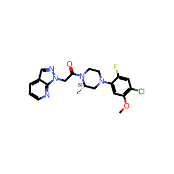 COc1cc(N2CCN(C(=O)Cn3ncc4cccnc43)[C@@H](C)C2)c(F)cc1Cl